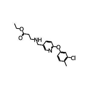 CCOC(=O)CCNCc1ccc(Oc2ccc(C)c(Cl)c2)nc1